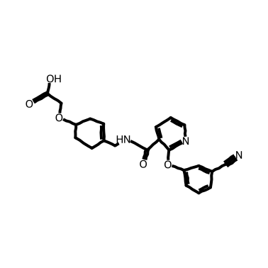 N#Cc1cccc(Oc2ncccc2C(=O)NCC2=CCC(OCC(=O)O)CC2)c1